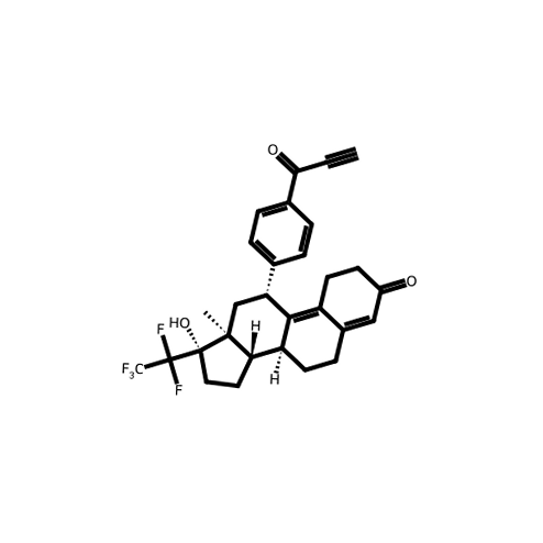 C#CC(=O)c1ccc([C@H]2C[C@@]3(C)[C@@H](CC[C@@]3(O)C(F)(F)C(F)(F)F)[C@@H]3CCC4=CC(=O)CCC4=C32)cc1